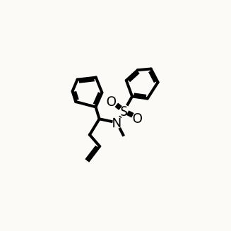 C=CCC(c1ccccc1)N(C)S(=O)(=O)c1ccccc1